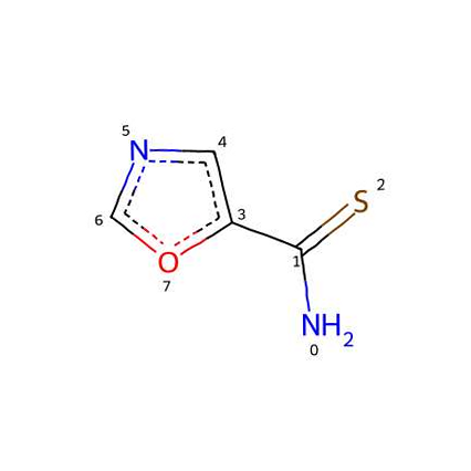 NC(=S)c1cnco1